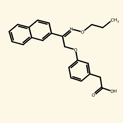 CCCON=C(COc1cccc(CC(=O)O)c1)c1ccc2ccccc2c1